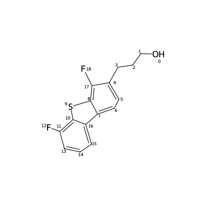 OCCCc1ccc2c(sc3c(F)cccc32)c1F